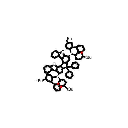 CC(C)(C)c1ccc(N(c2ccc(C(C)(C)C)cc2-c2ccccc2)c2cc3c(c4c2oc2ccccc24)-c2c(cc(N(c4ccc(C(C)(C)C)cc4)c4ccc(C(C)(C)C)cc4-c4ccccc4)c4c2oc2ccccc24)C3(c2ccccc2)c2ccccc2)cc1